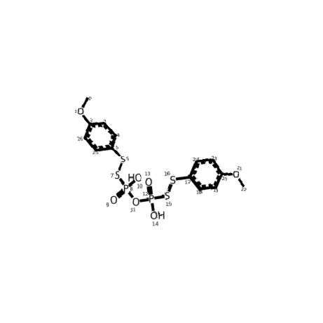 COc1ccc(SSP(=O)(O)OP(=O)(O)SSc2ccc(OC)cc2)cc1